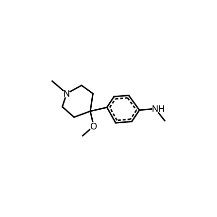 CNc1ccc(C2(OC)CCN(C)CC2)cc1